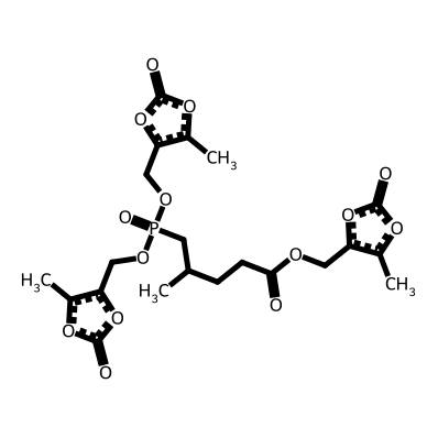 Cc1oc(=O)oc1COC(=O)CCC(C)CP(=O)(OCc1oc(=O)oc1C)OCc1oc(=O)oc1C